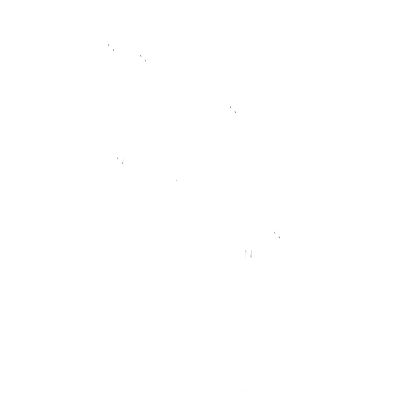 CCCn1cc(SN2CCC3Cc4c(cnn4-c4ccc(F)cc4)CC3(C(=O)c3cc(C(F)(F)F)ccn3)C2)cn1